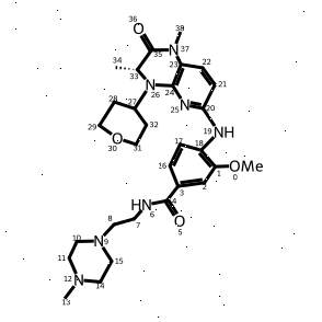 COc1cc(C(=O)NCCN2CCN(C)CC2)ccc1Nc1ccc2c(n1)N(C1CCOCC1)[C@H](C)C(=O)N2C